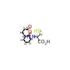 NC(CS)C(=O)O.O=c1ccc2ccccc2o1